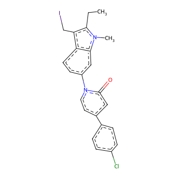 CCc1c(CI)c2ccc(-n3ccc(-c4ccc(Cl)cc4)cc3=O)cc2n1C